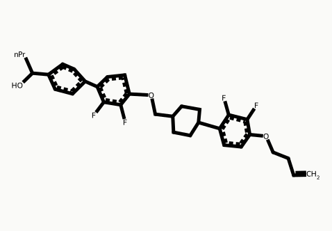 C=CCCOc1ccc(C2CCC(COc3ccc(-c4ccc(C(O)CCC)cc4)c(F)c3F)CC2)c(F)c1F